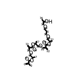 C=C(C)C(=O)OC(C)COCC(=C)C(=O)OC(C)COCC(=C)C(=O)OC(C)COCCCOCC(C)O